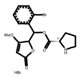 Br.COC1=CC(=O)OC1C(OC(=O)[C@@H]1CCCN1)c1ccccc1Br